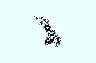 CNC(=O)Nc1ccc(-c2ncc3c(n2)N2CCOCC2(C)C(=O)N3C[C@H]2COC(C)(C)O2)cc1